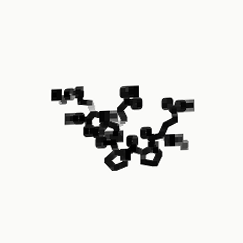 CSCC[C@H](NC(=O)[C@H](CCC(=O)O)NC(=O)[C@@H]1CCCN1C(=O)[C@@H]1CCCN1C(=O)[C@@H](N)CCC(=O)O)C(=O)O